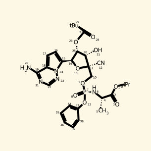 CC(C)OC(=O)[C@H](C)N[P@](=O)(OC[C@@]1(C#N)O[C@@H](c2ccc3c(N)ncnn23)[C@H](OC(=O)C(C)(C)C)[C@@H]1O)Oc1ccccc1